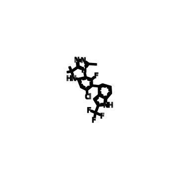 Cc1nnc2n1-c1c(cc(Cl)c(-c3cccc4[nH]c(C(F)(F)F)cc34)c1F)NC2(C)C